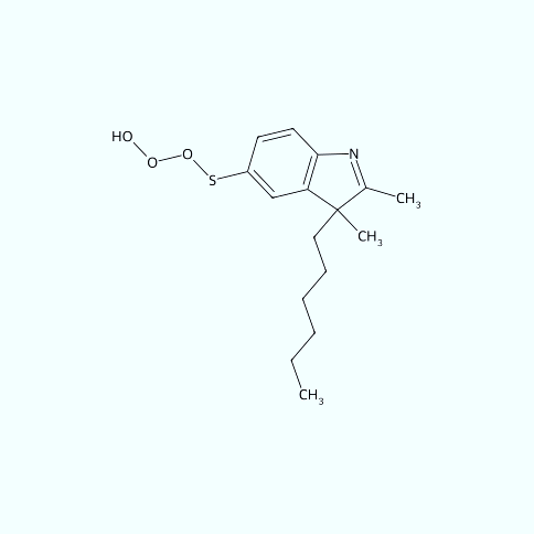 CCCCCCC1(C)C(C)=Nc2ccc(SOOO)cc21